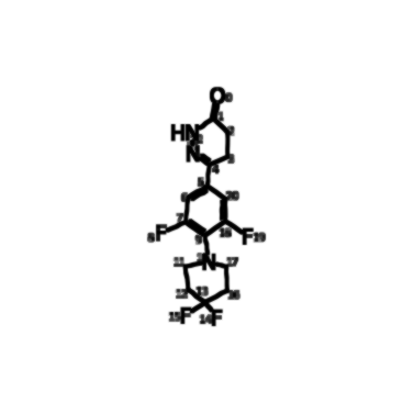 O=C1CCC(c2cc(F)c(N3CCC(F)(F)CC3)c(F)c2)=NN1